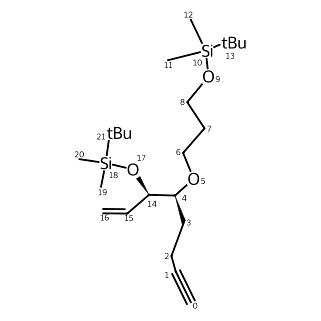 C#CCC[C@H](OCCCO[Si](C)(C)C(C)(C)C)[C@@H](C=C)O[Si](C)(C)C(C)(C)C